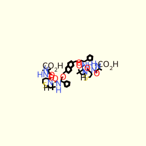 CC(C(=O)N[C@H]1CCS[C@H]2CC(C)(C)[C@@H](C(=O)NC(COCc3ccc4cc(COCC(NC(=O)[C@H]5N6C(=O)[C@@H](NC(=O)C(C)N(C)C(=O)O)CCS[C@H]6CC5(C)C)c5ccccc5)ccc4c3)c3ccccc3)N2C1=O)N(C)C(=O)O